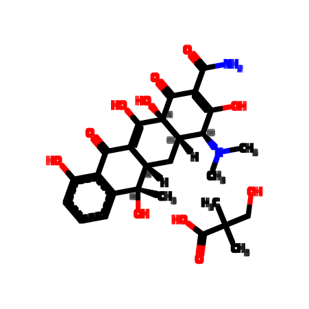 CC(C)(CO)C(=O)O.CN(C)[C@@H]1C(O)=C(C(N)=O)C(=O)[C@@]2(O)C(O)=C3C(=O)c4c(O)cccc4[C@@](C)(O)[C@H]3C[C@@H]12